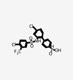 O=[PH](O)c1ccc(-c2ccc(Cl)cc2NS(=O)(=O)c2ccc(Cl)c(C(F)(F)F)c2)cc1